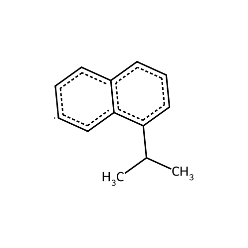 CC(C)c1cccc2cc[c]cc12